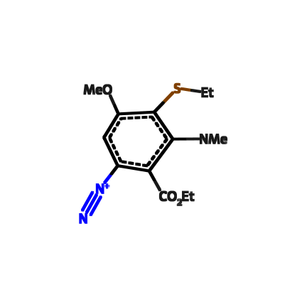 CCOC(=O)c1c([N+]#N)cc(OC)c(SCC)c1NC